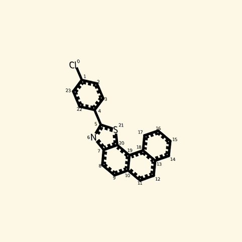 Clc1ccc(-c2nc3ccc4ccc5ccccc5c4c3s2)cc1